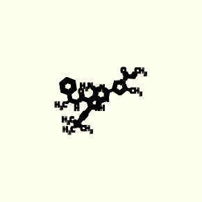 C=CC(=O)N1C[C@H](c2nc(N)c3c(C(=O)N[C@H](C)c4ccccc4)c(C#CC(C)(C)C)[nH]c3n2)C[C@@H]1C